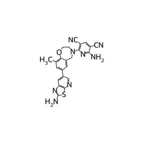 Cc1cc(-c2cnc3sc(N)nc3c2)cc2c1OCCN(c1nc(N)c(C#N)cc1C#N)C2